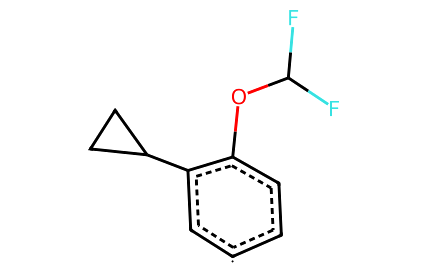 FC(F)Oc1cc[c]cc1C1CC1